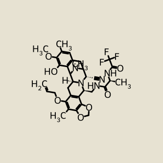 C=CCOc1c(C)c2c(c3c1C[C@H]1C4c5c(cc(C)c(OC)c5O)CC([C@H](C#N)N1[C@H]3CNC(=O)[C@H](C)NC(=O)C(F)(F)F)N4C)OCO2